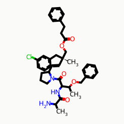 CC(N)C(=O)NC(C(=O)N1CCCC1/C=C/[C@](C)(COC(=O)CCc1ccccc1)Cc1cccc(Cl)c1)C(C)OCc1ccccc1